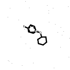 Fc1cc[n+](OC2CCCCC2)cc1